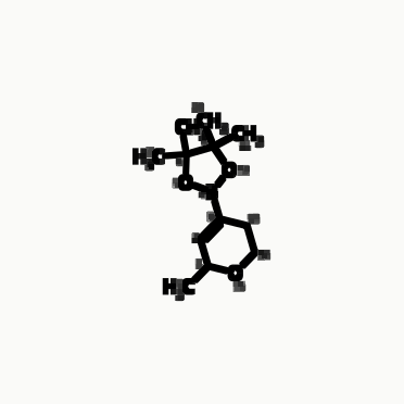 CC1C=C(B2OC(C)(C)C(C)(C)O2)CCO1